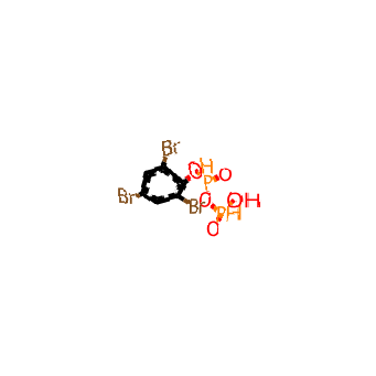 O=[PH](O)O[PH](=O)Oc1c(Br)cc(Br)cc1Br